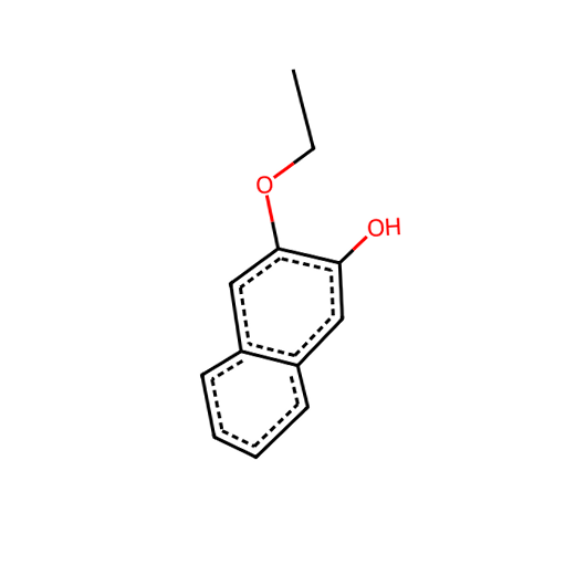 CCOc1cc2ccccc2cc1O